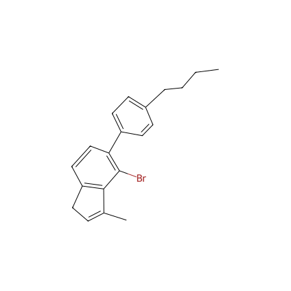 CCCCc1ccc(-c2ccc3c(c2Br)C(C)=CC3)cc1